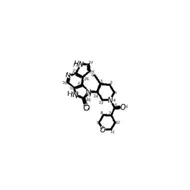 CC1CCN(C(=O)C2CCOCC2)CC1n1c(=O)[nH]c2cnc3[nH]ccc3c21